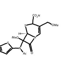 COCC1=CN2C(=O)C(OC)(N(C(C)=O)c3cccs3)[C@H]2SC1C(=O)O